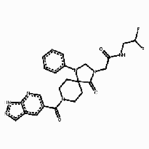 O=C(CN1CN(c2ccccc2)C2(CCN(C(=O)c3cnc4[nH]ncc4c3)CC2)C1=O)NCC(F)F